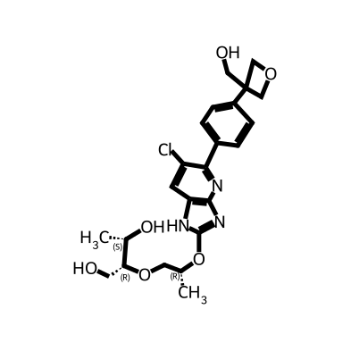 C[C@H](CO[C@H](CO)[C@H](C)O)Oc1nc2nc(-c3ccc(C4(CO)COC4)cc3)c(Cl)cc2[nH]1